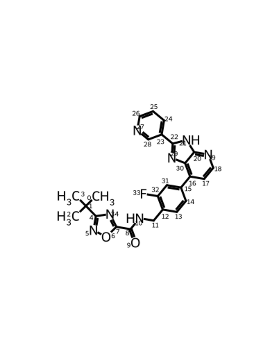 CC(C)(C)c1noc(C(=O)NCc2ccc(-c3ccnc4[nH]c(-c5cccnc5)nc34)cc2F)n1